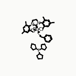 C1CCC(P(C2CCCC2)C2CCCC2)C1.Cc1cc(C)c(N2CCN(c3c(C)cc(C)cc3C)[C]2=[Ru]([Cl])([Cl])=[C]=Cc2ccccc2)c(C)c1